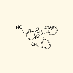 Cc1cc(CO)nc(O[C@H](C(=O)O)C(O)(c2ccccc2)c2ccccc2)n1